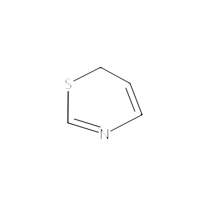 C1=CN=CSC1